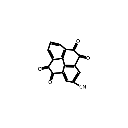 N#Cc1cc2c3c(c1)c(=O)c(=O)c1cccc(c1-3)c(=O)c2=O